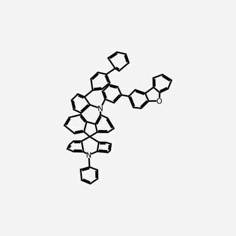 c1ccc(-c2ccc(-c3ccccc3N(c3cccc(-c4ccc5oc6ccccc6c5c4)c3)c3cccc4c3-c3ccccc3C43c4ccccc4N(c4ccccc4)c4ccccc43)cc2)cc1